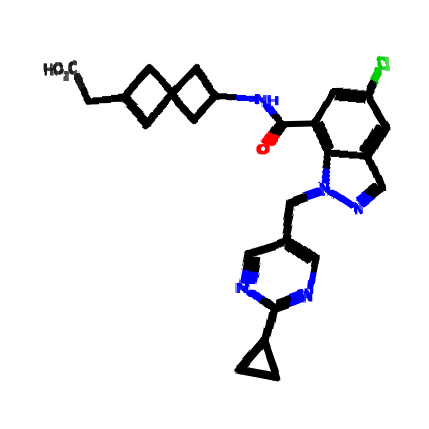 O=C(O)CC1CC2(C1)CC(NC(=O)c1cc(Cl)cc3cnn(Cc4cnc(C5CC5)nc4)c13)C2